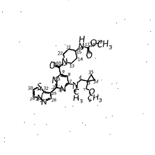 COCC1(CN(C)c2cc(C(=O)N3CCC(NC(=O)OC)CC3)nc(-c3cnn4ccsc34)n2)CC1